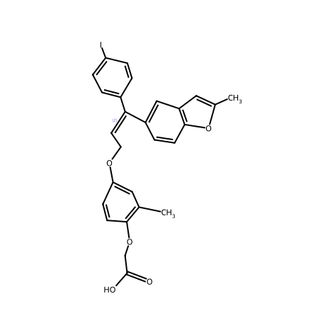 Cc1cc2cc(/C(=C\COc3ccc(OCC(=O)O)c(C)c3)c3ccc(I)cc3)ccc2o1